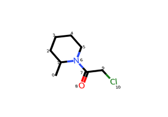 CC1CCCCN1C(=O)CCl